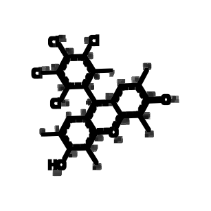 Cc1cc2c(-c3c(C)c(Cl)c(Cl)c(Cl)c3Cl)c3cc(C)c(=O)c(C)c-3oc2c(C)c1O